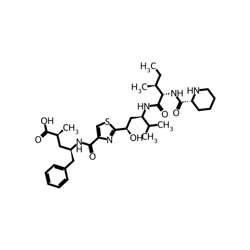 CC[C@H](C)[C@H](NC(=O)[C@H]1CCCCN1)C(=O)N[C@H](C[C@@H](O)c1nc(C(=O)N[C@@H](Cc2ccccc2)C[C@H](C)C(=O)O)cs1)C(C)C